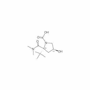 CN(C)C(=O)[C@]1(C(C)(C)C)C[C@H](O)CN1C(=O)O